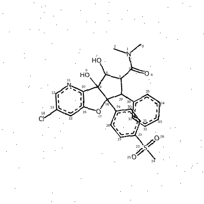 CN(C)C(=O)C1C(O)C2(O)c3ncc(Cl)cc3OC2(c2ccc(S(C)(=O)=O)cc2)C1c1ccccc1